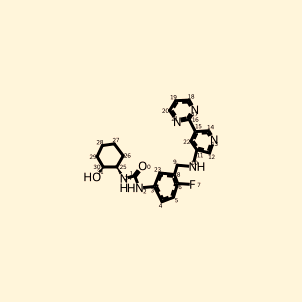 O=C(Nc1ccc(F)c(CNc2cncc(-c3ncccn3)c2)c1)N[C@@H]1CCCC[C@@H]1O